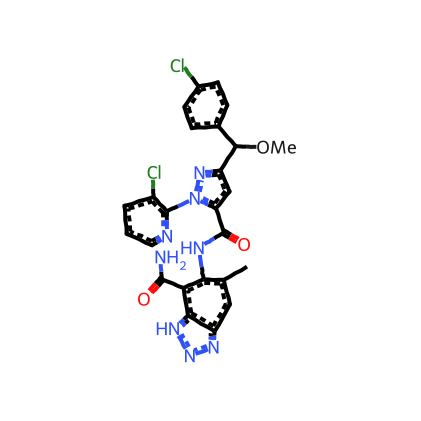 COC(c1ccc(Cl)cc1)c1cc(C(=O)Nc2c(C)cc3nn[nH]c3c2C(N)=O)n(-c2ncccc2Cl)n1